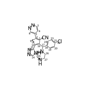 N#Cc1c(-c2ccnnc2)sc(-c2nnc[nH]2)c1C(c1ccc(Cl)cc1)N1CCNCC1